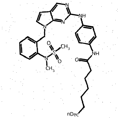 CCCCCCCCCCCCCCCC(=O)Nc1ccc(Nc2ncc3ccn(Cc4ccccc4N(C)S(C)(=O)=O)c3n2)cc1